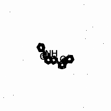 c1ccc(C2Nc3c(ccc4cc(-c5cccc6c5oc5ccccc56)ccc34)O2)cc1